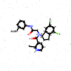 CC(=O)Nc1cccc(NC(=O)CN(C(=O)c2cccnc2C)[C@@H]2CCc3c(F)cc(Cl)cc32)c1